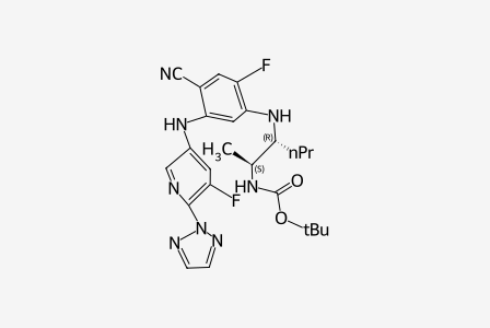 CCC[C@@H](Nc1cc(Nc2cnc(-n3nccn3)c(F)c2)c(C#N)cc1F)[C@H](C)NC(=O)OC(C)(C)C